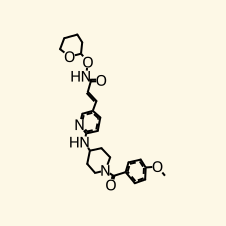 COc1ccc(C(=O)N2CCC(Nc3ccc(/C=C/C(=O)NOC4CCCCO4)cn3)CC2)cc1